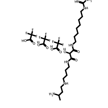 CC(N)CCNCCCCNC(=O)C(O)C(=O)NCCCCCCCCNC(=N)N.O=C(O)C(F)(F)F.O=C(O)C(F)(F)F.O=C(O)C(F)(F)F